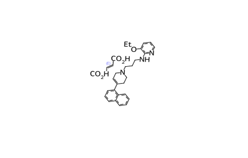 CCOc1cccnc1NCCCN1CC=C(c2cccc3ccccc23)CC1.O=C(O)/C=C/C(=O)O